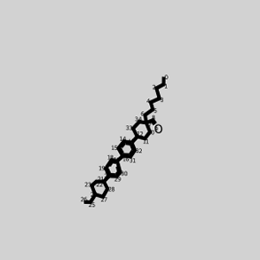 CCCCCCCC1(C=O)CCC(c2ccc(-c3ccc(C4CCC(CC)CC4)cc3)cc2)CC1